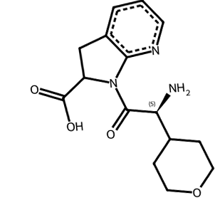 N[C@H](C(=O)N1c2ncccc2CC1C(=O)O)C1CCOCC1